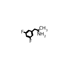 C[C@@H](N)Cc1cc(F)cc(F)c1